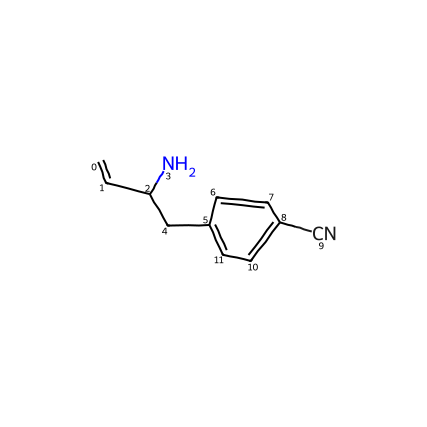 C=CC(N)Cc1ccc(C#N)cc1